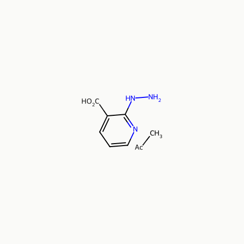 CC(C)=O.NNc1ncccc1C(=O)O